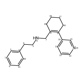 c1ccc(CCNCC2=C(c3cccnc3)CCCC2)cc1